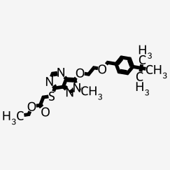 CCOC(=O)CSc1ncnc2c(OCCOCc3ccc(C(C)(C)C)cc3)n(C)nc12